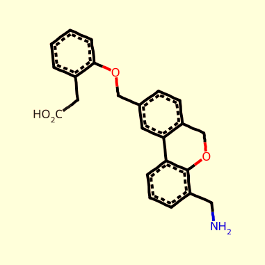 NCc1cccc2c1OCc1ccc(COc3ccccc3CC(=O)O)cc1-2